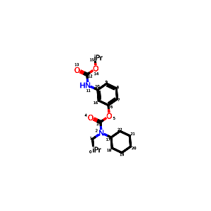 CC(C)CN(C(=O)Oc1cccc(NC(=O)OC(C)C)c1)C1CCCCC1